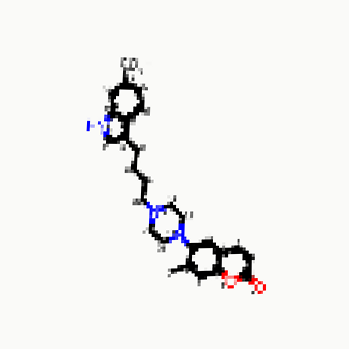 Cc1cc2oc(=O)ccc2cc1N1CCN(CCCCc2c[nH]c3cc(C(=O)O)ccc23)CC1